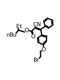 CCCCC(CC)COC(=O)/C(C#N)=C(/c1ccccc1)c1ccc(OCCBr)cc1